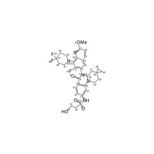 COc1ccc2cc(NC(=O)c3ccc(NS(=O)(=O)CCO)cc3N3CCC4(CC3)CC4)c(F)c(N3CCC(F)(F)CC3)c2n1